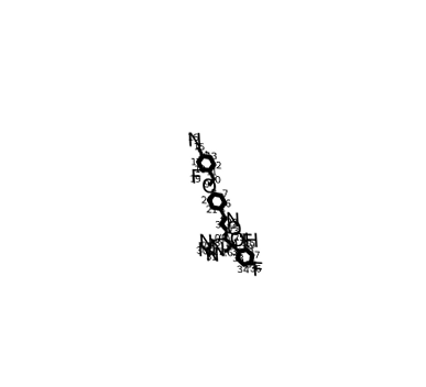 C[C@@H](c1cc(-c2ccc(OCc3ccc(C#N)cc3F)cc2)no1)[C@](O)(Cn1cnnn1)c1ccc(F)cc1F